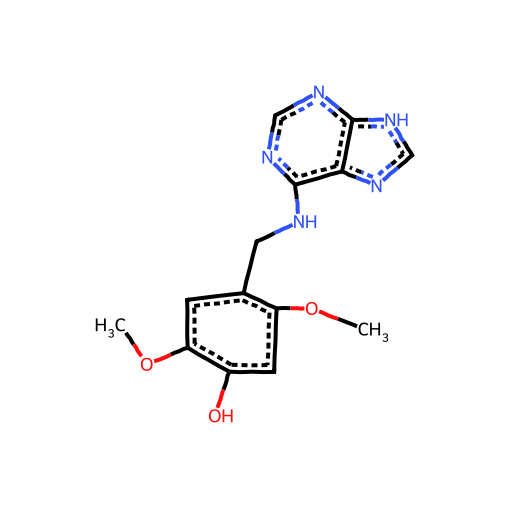 COc1cc(CNc2ncnc3[nH]cnc23)c(OC)cc1O